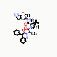 CC(C)(C)C(NC(=O)C(c1ccccc1)c1ccccc1)C(=O)N1C[C@H]2[C@@H]([C@H]1C(=O)NC(C#N)C[C@@H]1CCNC1=O)C2(C)C